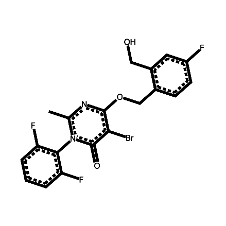 Cc1nc(OCc2ccc(F)cc2CO)c(Br)c(=O)n1-c1c(F)cccc1F